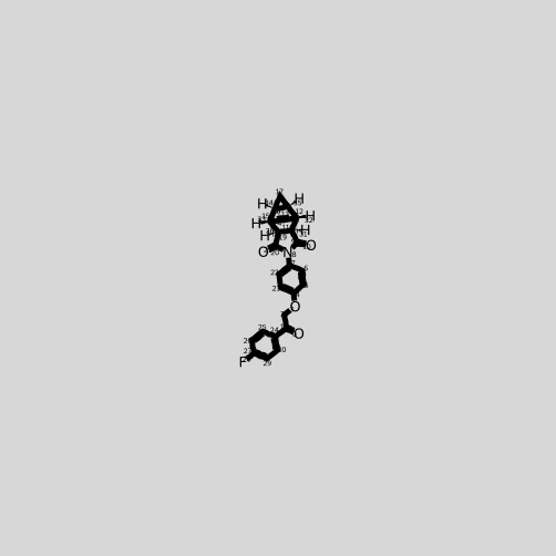 O=C(COc1ccc(N2C(=O)[C@@H]3[C@@H]4C=C[C@@H]([C@H]5C[C@@H]45)[C@@H]3C2=O)cc1)c1ccc(F)cc1